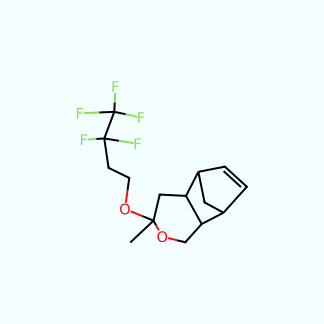 CC1(OCCC(F)(F)C(F)(F)F)CC2C3C=CC(C3)C2CO1